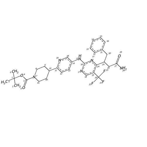 CC(C)(C)OC(=O)N1CCC(c2ccc(Nc3ncc(C(F)(F)F)c(C(CC(N)=O)Cc4ccccc4)n3)cn2)CC1